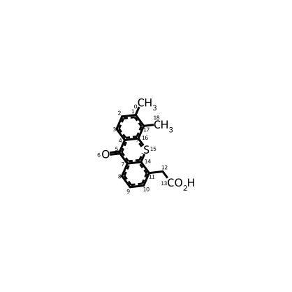 Cc1ccc2c(=O)c3cccc(CC(=O)O)c3sc2c1C